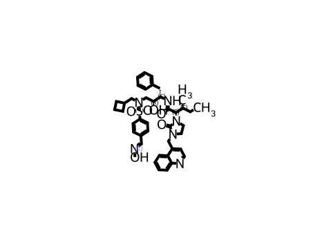 CC[C@H](C)[C@@H](C(=O)N[C@@H](Cc1ccccc1)[C@H](O)CN(CC1CCC1)S(=O)(=O)c1ccc(/C=N/O)cc1)N1CCN(Cc2ccnc3ccccc23)C1=O